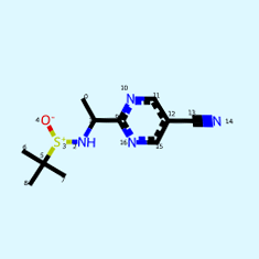 CC(N[S+]([O-])C(C)(C)C)c1ncc(C#N)cn1